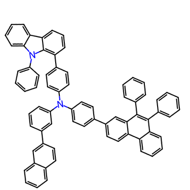 c1ccc(-c2c(-c3ccccc3)c3cc(-c4ccc(N(c5ccc(-c6cccc7c8ccccc8n(-c8ccccc8)c67)cc5)c5cccc(-c6ccc7ccccc7c6)c5)cc4)ccc3c3ccccc23)cc1